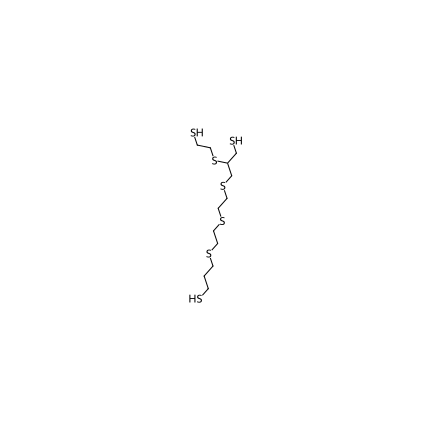 SCCCSCCSCCSCC(CS)SCCS